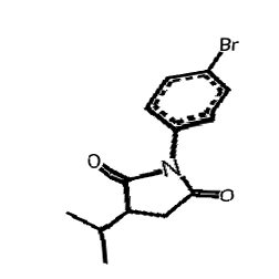 CC(C)C1CC(=O)N(c2ccc(Br)cc2)C1=O